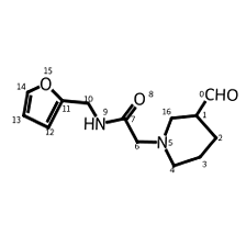 O=CC1CCCN(CC(=O)NCc2ccco2)C1